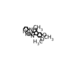 CCC1c2cc(OC)c(OC)cc2-c2n[nH]c(Nc3cccnc3Cl)c21